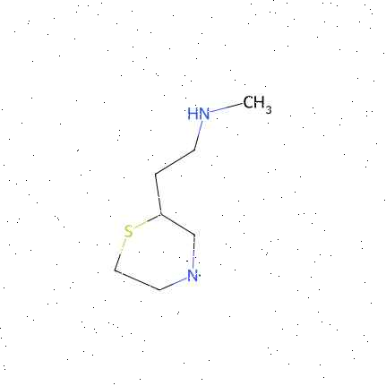 CNCCC1C[N]CCS1